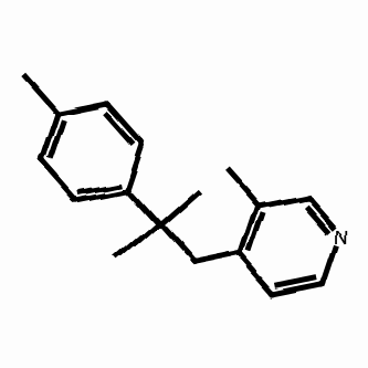 Cc1ccc(C(C)(C)Cc2ccncc2C)cc1